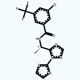 C[C@H](NC(=O)c1cc(Cl)cc(C(F)(F)F)c1)c1ncnn1-c1nccs1